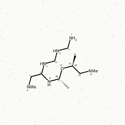 CNCC(NCNCN)N[C@@H](C)O[C@@H](C)CNC